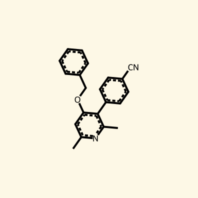 Cc1cc(OCc2ccccc2)c(-c2ccc(C#N)cc2)c(C)n1